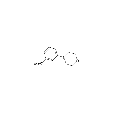 CSc1cccc(N2CCOCC2)c1